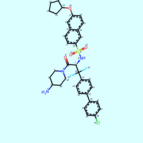 NC1CCN(C(=O)[C@@H](NS(=O)(=O)c2ccc3cc(OC4CCCC4)ccc3c2)C(F)(F)c2ccc(-c3ccc(Cl)cc3)cc2)CC1